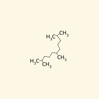 CC(C)CCCC(C)CCCC(C)C